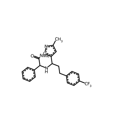 CNC(=O)C(NC(CCc1ccc(C(F)(F)F)cc1)c1cc(C)no1)c1ccccc1